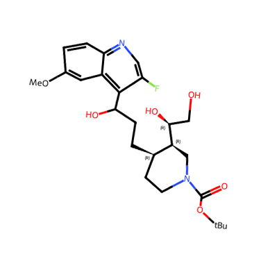 COc1ccc2ncc(F)c(C(O)CC[C@@H]3CCN(C(=O)OC(C)(C)C)C[C@@H]3[C@@H](O)CO)c2c1